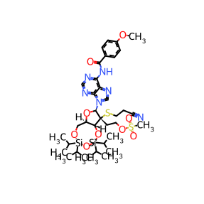 COc1ccc(C(=O)Nc2ncnc3c2ncn3[C@@H]2O[C@@H]3CO[Si](C(C)C)(C(C)C)O[Si](C(C)C)(C(C)C)O[C@H]3[C@@]2(CCOS(C)(=O)=O)SCCC#N)cc1